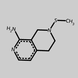 CSN1CCc2ccnc(N)c2C1